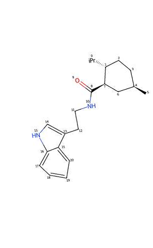 CC(C)[C@@H]1CC[C@@H](C)C[C@H]1C(=O)NCCc1c[nH]c2ccccc12